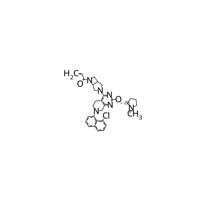 C=CC(=O)N1CC2CN(c3nc(OC[C@@H]4CCCN4C)nc4c3CCN(c3cccc5cccc(Cl)c35)C4)CC21